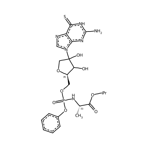 CC(C)OC(=O)[C@H](C)NP(=O)(OC[C@H]1OCC(O)(n2cnc3c(=S)[nH]c(N)nc32)C1O)Oc1ccccc1